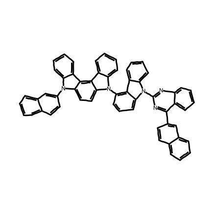 c1ccc2cc(-c3nc(-n4c5ccccc5c5c(-n6c7ccccc7c7c8c9ccccc9n(-c9ccc%10ccccc%10c9)c8ccc76)cccc54)nc4ccccc34)ccc2c1